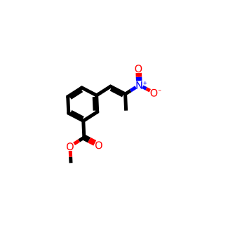 COC(=O)c1cccc(/C=C(\C)[N+](=O)[O-])c1